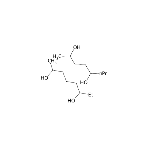 CCC(O)CCCC(C)O.CCCC(O)CCC(C)O